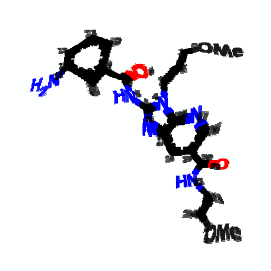 COCCCn1c(NC(=O)c2cccc(N)c2)nc2cc(C(=O)NCCOC)cnc21